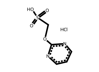 Cl.O=S(=O)(O)COc1ncccn1